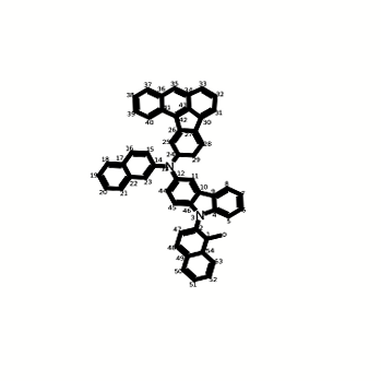 CC1C(n2c3ccccc3c3cc(N(c4ccc5ccccc5c4)C4C=C5C(=CC4)c4cccc6cc7ccccc7c5c46)ccc32)=CC=C2C=CC=CC21